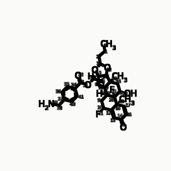 CCCC1O[C@@H]2CC3[C@@H]4C[C@H](F)C5=CC(=O)C=C[C@]5(C)[C@@]4(F)[C@@H](O)C[C@]3(C)[C@]2(C(=O)COC(=O)c2ccc(CN)cc2)O1